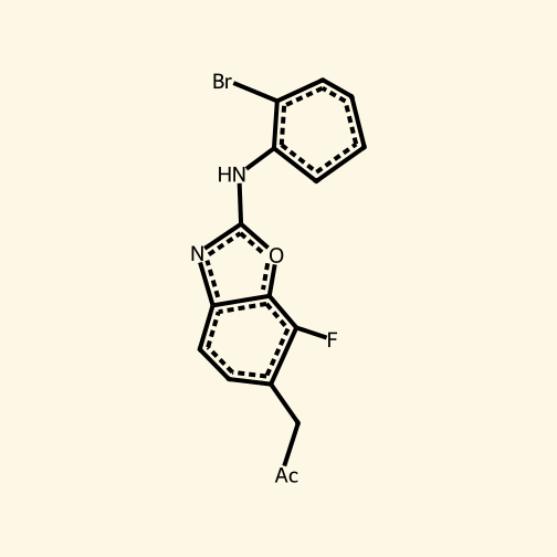 CC(=O)Cc1ccc2nc(Nc3ccccc3Br)oc2c1F